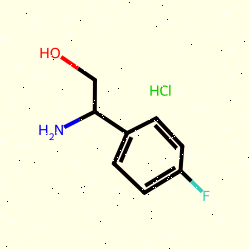 Cl.NC(CO)c1ccc(F)cc1